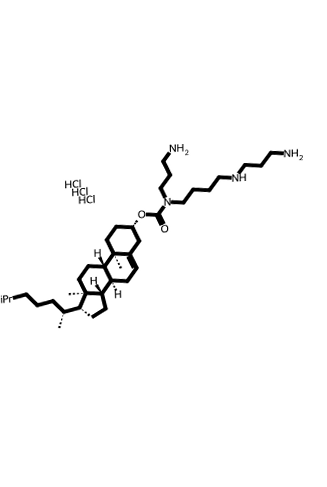 CC(C)CCC[C@@H](C)[C@H]1CC[C@H]2[C@@H]3CC=C4C[C@@H](OC(=O)N(CCCN)CCCCNCCCN)CC[C@]4(C)[C@H]3CC[C@]12C.Cl.Cl.Cl